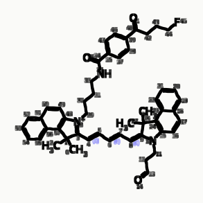 CC1(C)C(/C=C/C=C/C=C2/N(CCC=O)c3ccc4ccccc4c3C2(C)C)=[N+](CCCCNC(=O)c2ccc(C(=O)CCCF)cc2)c2ccc3ccccc3c21